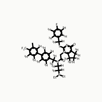 [2H]c1c([2H])c(C([2H])([2H])Sc2nc(=O)c3c(n2CC(=O)N(C([2H])([2H])c2c([2H])c([2H])c(-c4c([2H])c([2H])c(C(F)(F)F)c(C)c4[2H])c([2H])c2[2H])C([2H])([2H])C([2H])([2H])N(CC)CC)C([2H])([2H])C([2H])([2H])C3([2H])[2H])c([2H])c([2H])c1F